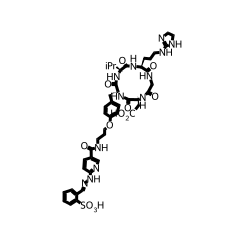 CC(C)[C@@H]1NC(=O)[C@@H](Cc2ccc(OCCCNC(=O)c3ccc(N/N=C/c4ccccc4S(=O)(=O)O)nc3)cc2)NC(=O)[C@H](CC(=O)O)NC(=O)CNC(=O)[C@H](CCCNC2=NCCN2)NC1=O